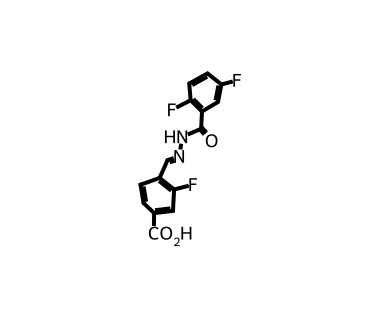 O=C(O)c1ccc(C=NNC(=O)c2cc(F)ccc2F)c(F)c1